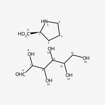 O=C(O)[C@@H]1CCCN1.O=CC(O)C(O)C(O)C(O)CO